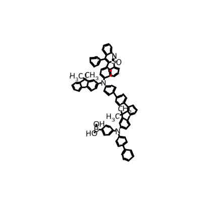 CC1(C)c2ccccc2-c2ccc(N(c3ccc(C4=C(c5ccccc5)c5ccccc5N=S4(=O)c4ccccc4)cc3)c3ccc(-c4ccc(-c5cccc6c5C(C)(C)c5cc(N(c7ccc(B(O)O)cc7)c7ccc(-c8ccccc8)cc7)ccc5-6)cc4)cc3)cc21